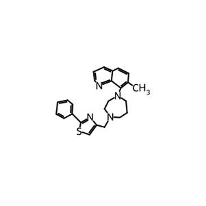 Cc1ccc2cccnc2c1N1CCCN(Cc2csc(-c3ccccc3)n2)CC1